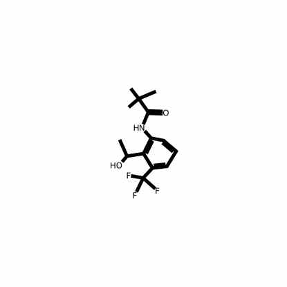 CC(O)c1c(NC(=O)C(C)(C)C)cccc1C(F)(F)F